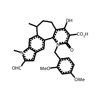 COc1ccc(Cn2c3c(c(O)c(C(=O)O)c2=O)CCC(C)c2cc4c(cc2-3)cc(C=O)n4C)c(OC)c1